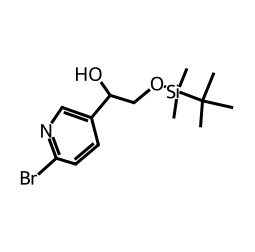 CC(C)(C)[Si](C)(C)OCC(O)c1ccc(Br)nc1